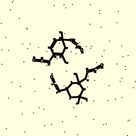 CC1(C)CC(N=C=O)CC(C)(CN=C=O)C1.CC1=C(N=C=O)C=CC(C)(N=C=O)C1